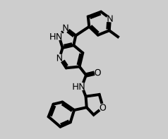 Cc1cc(-c2n[nH]c3ncc(C(=O)NC4COCC4c4ccccc4)cc23)ccn1